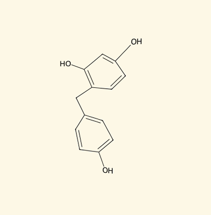 Oc1ccc(Cc2ccc(O)cc2O)cc1